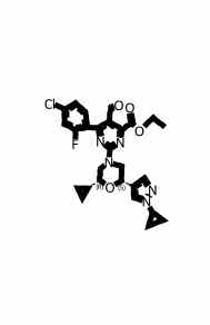 CCOC(=O)c1nc(N2C[C@@H](C3CC3)O[C@@H](c3cnn(C4CC4)c3)C2)nc(-c2ccc(Cl)cc2F)c1C=O